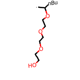 [CH2]C(CCCC)OCCOCCOCCO